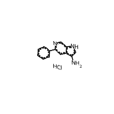 Cl.Nc1c[nH]c2cnc(-c3ccccc3)cc12